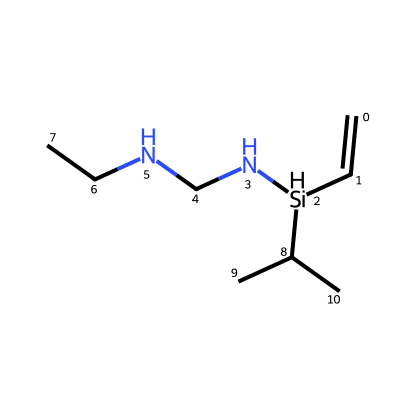 C=C[SiH](NCNCC)C(C)C